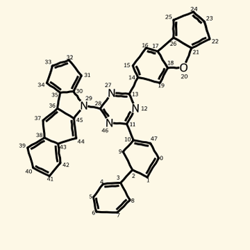 C1=CC(c2ccccc2)CC(c2nc(-c3ccc4c(c3)oc3ccccc34)nc(-n3c4ccccc4c4cc5ccccc5cc43)n2)=C1